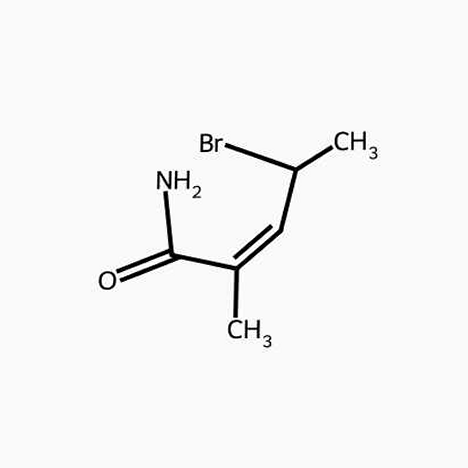 CC(=CC(C)Br)C(N)=O